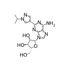 CC(C)n1cc(-c2nc(N)c3ncn(C4O[C@H](CO)[C@@H](O)[C@H]4O)c3n2)cn1